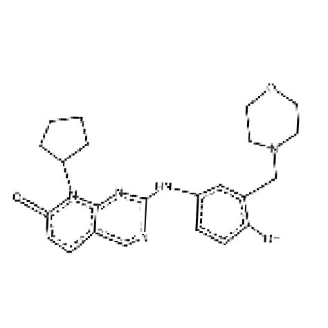 O=c1ccc2cnc(Nc3ccc(O)c(CN4CCOCC4)c3)nc2n1C1CCCC1